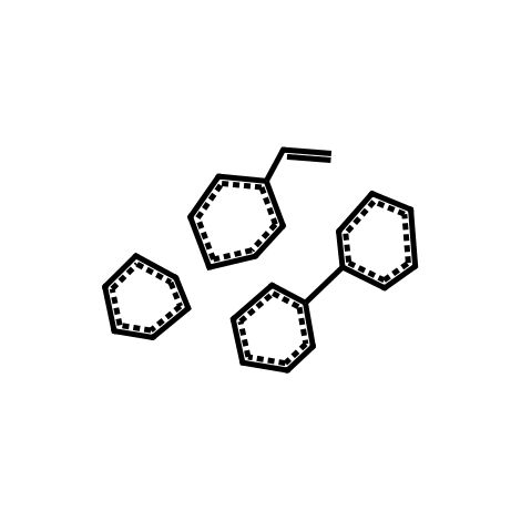 C=Cc1ccccc1.c1ccc(-c2ccccc2)cc1.c1ccccc1